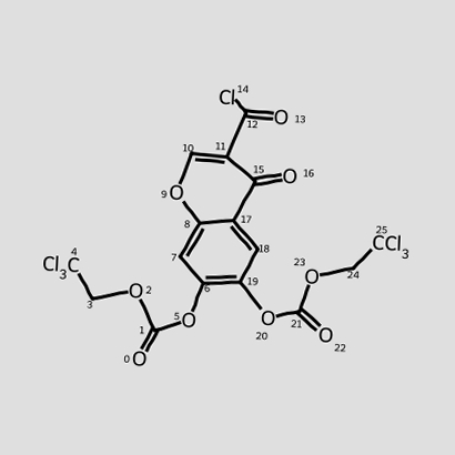 O=C(OCC(Cl)(Cl)Cl)Oc1cc2occ(C(=O)Cl)c(=O)c2cc1OC(=O)OCC(Cl)(Cl)Cl